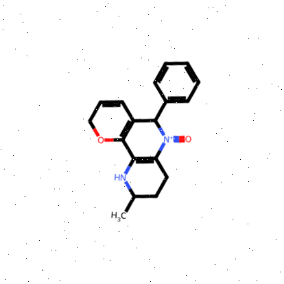 CC1CCC2=C(N1)C1=C(C=CCO1)C(c1ccccc1)[N+]2=O